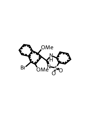 COc1c(C2=NS(=O)(=O)c3ccccc3N2)c(OC)c2ccccc2c1Br